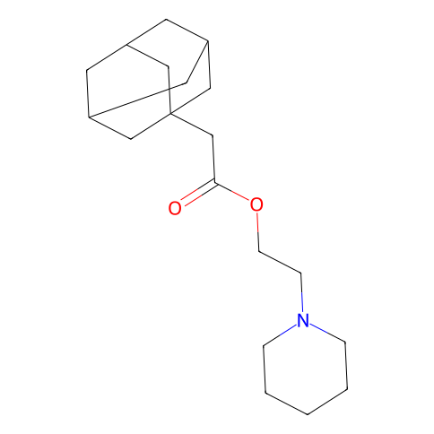 O=C(CC12CC3CC(CC(C3)C1)C2)OCCN1CCCCC1